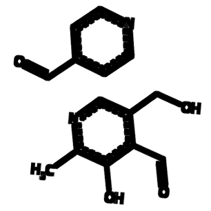 Cc1ncc(CO)c(C=O)c1O.O=Cc1ccncc1